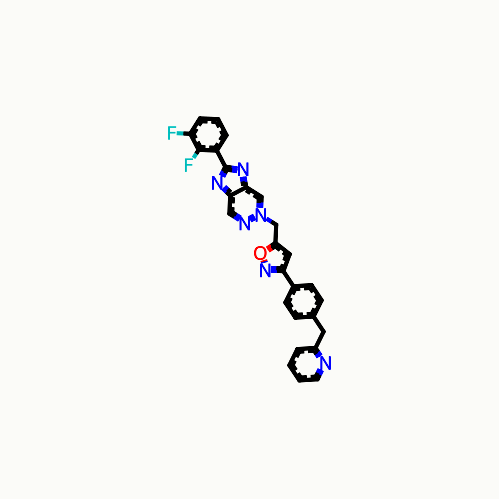 Fc1cccc(-c2nc3cnn(Cc4cc(-c5ccc(Cc6ccccn6)cc5)no4)cc-3n2)c1F